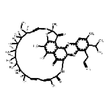 C=CCc1c(C(C)C)c(C)cc2nc3c4c5c6c(C)c(O)c4c(=O)c(c-3oc12)NC(=O)/C(C)=C\C=C\[C@H](C)[C@H](O)[C@@H](C)[C@@H](O)[C@@H](C)[C@H](O)[C@H](C)[C@@H](OC)/C=C/O[C@@](C)(O6)C5=O